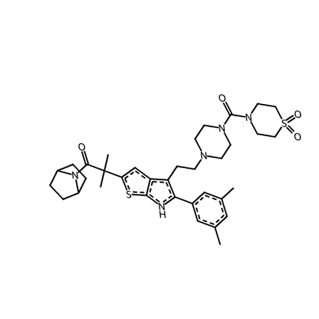 Cc1cc(C)cc(-c2[nH]c3sc(C(C)(C)C(=O)N4C5CCC4CC5)cc3c2CCN2CCN(C(=O)N3CCS(=O)(=O)CC3)CC2)c1